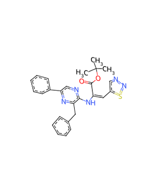 CC(C)(C)OC(=O)/C(=C\c1cnns1)Nc1ncc(-c2ccccc2)nc1Cc1ccccc1